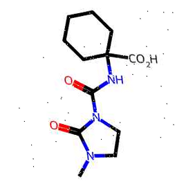 CN1CCN(C(=O)NC2(C(=O)O)CCCCC2)C1=O